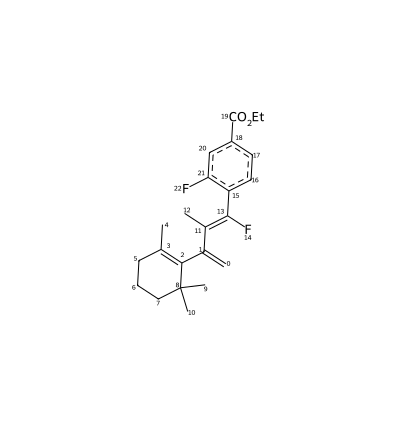 C=C(C1=C(C)CCCC1(C)C)/C(C)=C(\F)c1ccc(C(=O)OCC)cc1F